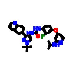 CC(C)Nc1cc(Oc2ccc(NC(=O)Nc3cn(C(C)(C)C)nc3-c3ccc4ncccc4c3)c(F)c2)ccn1